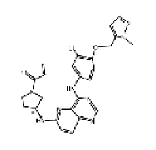 C=CC(=O)N1CC[C@H](Nc2ccc3ncnc(Nc4ccc(OCc5ccnn5C)c(Cl)c4)c3n2)C1